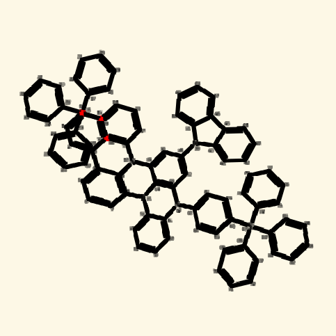 c1ccc(-c2cccc3c2N(c2cccc([Si](c4ccccc4)(c4ccccc4)c4ccccc4)c2)c2cc(-n4c5ccccc5c5ccccc54)cc4c2B3c2ccccc2N4c2ccc([Si](c3ccccc3)(c3ccccc3)c3ccccc3)cc2)cc1